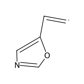 [CH]=Cc1cnco1